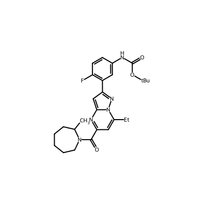 CCc1cc(C(=O)N2CCCCCC2C)nc2cc(-c3cc(NC(=O)OC(C)(C)C)ccc3F)nn12